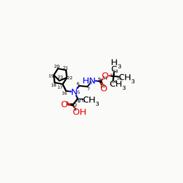 C[C@@H](C(=O)O)N(CCNC(=O)OC(C)(C)C)CC1CC2CCC1C2